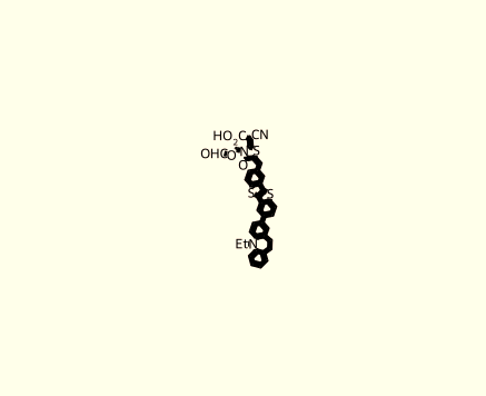 CCN1c2ccccc2CCc2cc(-c3ccc4sc5c6cc(/C=c7/s/c(=C(\C#N)C(=O)O)n(COC=O)c7=O)ccc6sc5c4c3)ccc21